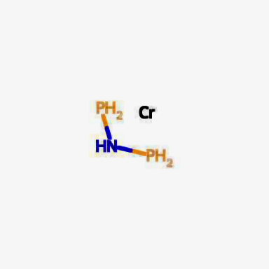 PNP.[Cr]